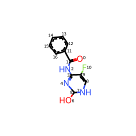 O=C(NC1=NC(O)NC=C1F)c1ccccc1